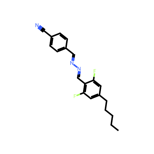 CCCCCc1cc(F)c(/C=N/N=C/c2ccc(C#N)cc2)c(F)c1